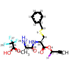 C#CC(I)OC(=O)[C@H](CSCc1ccccc1)NC(=O)[C@H](C)N.O=C(O)C(F)(F)F